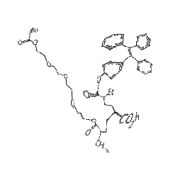 CCC(C)C(=O)OCCOCCOCCOCCOC(=O)C(C)CCC(CCC(CC)C(=O)Oc1ccc(C(=C(c2ccccc2)c2ccccc2)c2ccccc2)cc1)C(=O)O